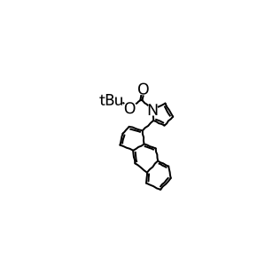 CC(C)(C)OC(=O)n1cccc1-c1cccc2cc3ccccc3cc12